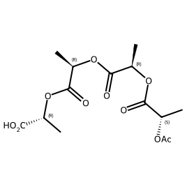 CC(=O)O[C@@H](C)C(=O)O[C@H](C)C(=O)O[C@H](C)C(=O)O[C@H](C)C(=O)O